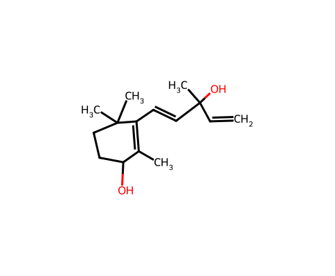 C=CC(C)(O)C=CC1=C(C)C(O)CCC1(C)C